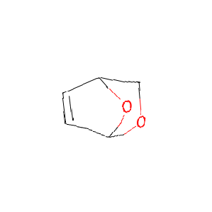 C1=CC2OCC1O2